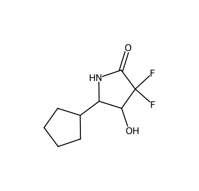 O=C1NC(C2CCCC2)C(O)C1(F)F